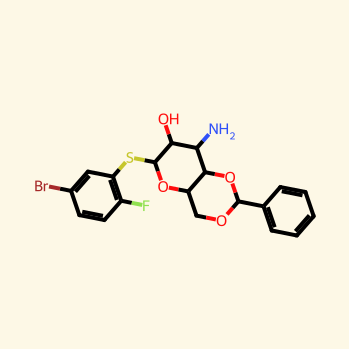 NC1C(O)C(Sc2cc(Br)ccc2F)OC2COC(c3ccccc3)OC21